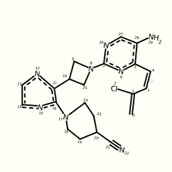 C=C(Cl)/C=C\c1nc(N2CC(c3nccnc3N3CCC(C#N)CC3)C2)ncc1N